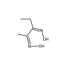 CCC(=N/O)/C(I)=N\O